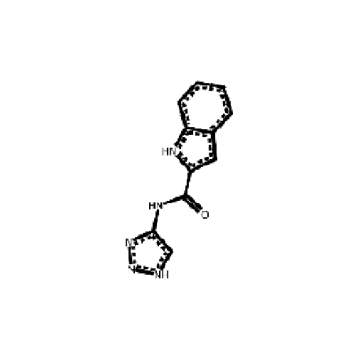 O=C(Nc1c[nH]nn1)c1cc2ccccc2[nH]1